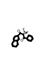 O=C(c1ccccc1)C(B(F)F)C(=O)c1ccc2ccccc2c1